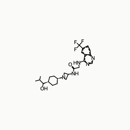 CC(C)C(O)[C@H]1CC[C@@H](N2CC(NC(=O)CNc3ncnc4ccc(C(F)(F)F)cc34)C2)CC1